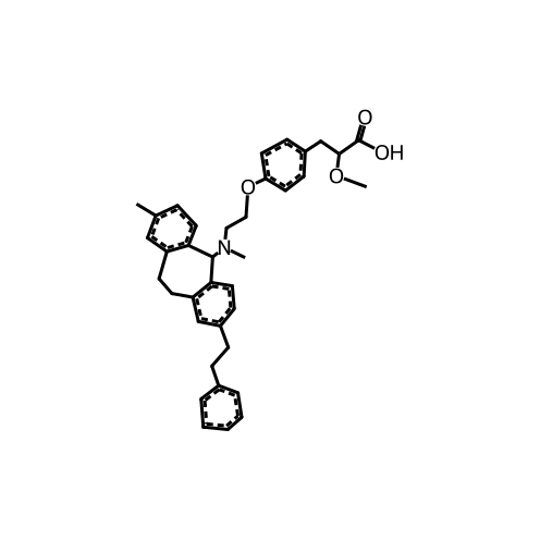 COC(Cc1ccc(OCCN(C)C2c3ccc(C)cc3CCc3cc(CCc4ccccc4)ccc32)cc1)C(=O)O